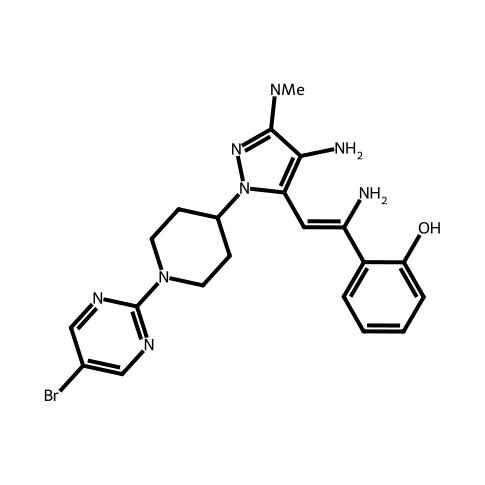 CNc1nn(C2CCN(c3ncc(Br)cn3)CC2)c(/C=C(\N)c2ccccc2O)c1N